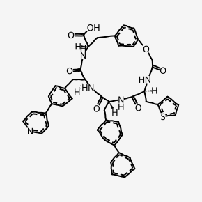 O=C1COc2ccc(cc2)C[C@@H](C(=O)O)NC(=O)[C@H](Cc2ccc(-c3ccncc3)cc2)NC(=O)[C@@H](Cc2ccc(-c3ccccc3)cc2)NC(=O)[C@H](Cc2cccs2)N1